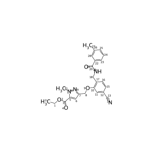 CCOC(=O)c1cc(COc2cc(C#N)ccc2CNC(=O)c2cccc(C)c2)nn1C